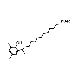 CCCCCCCCCCCCCCCCCCCCCCC(C)c1cc(C)cc(C)c1O